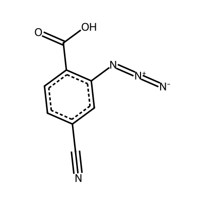 N#Cc1ccc(C(=O)O)c(N=[N+]=[N-])c1